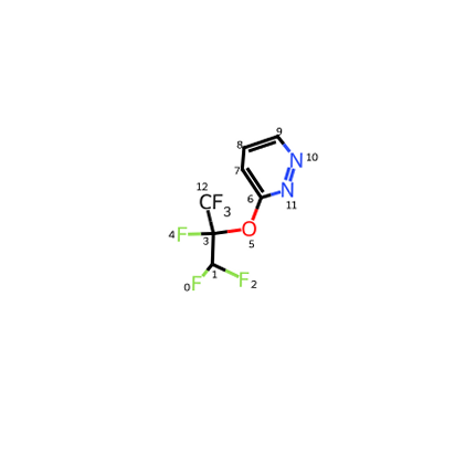 FC(F)C(F)(Oc1cccnn1)C(F)(F)F